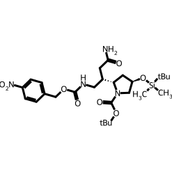 CC(C)(C)OC(=O)N1C[C@H](O[Si](C)(C)C(C)(C)C)C[C@H]1C(CNC(=O)OCc1ccc([N+](=O)[O-])cc1)CC(N)=O